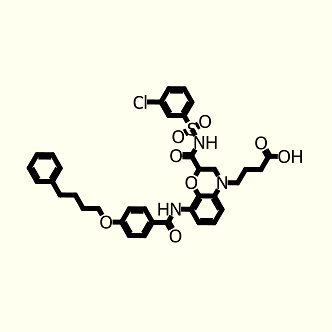 O=C(O)CCCN1CC(C(=O)NS(=O)(=O)c2cccc(Cl)c2)Oc2c(NC(=O)c3ccc(OCCCCc4ccccc4)cc3)cccc21